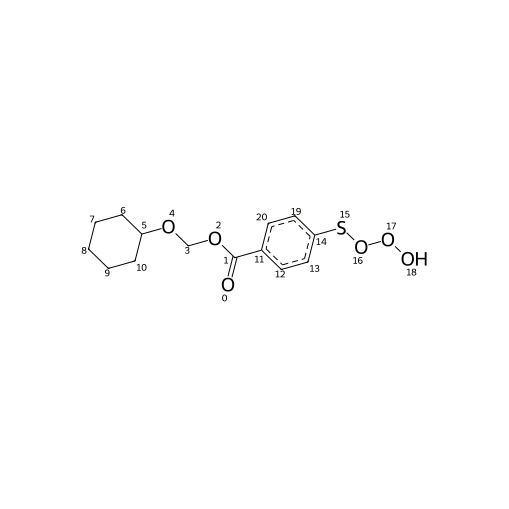 O=C(OCOC1CCCCC1)c1ccc(SOOO)cc1